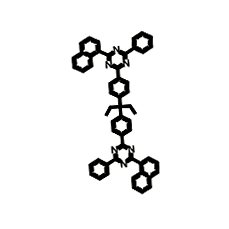 CCC(CC)(c1ccc(-c2nc(-c3ccccc3)nc(-c3cccc4ccccc34)n2)cc1)c1ccc(-c2nc(-c3ccccc3)nc(-c3cccc4ccccc34)n2)cc1